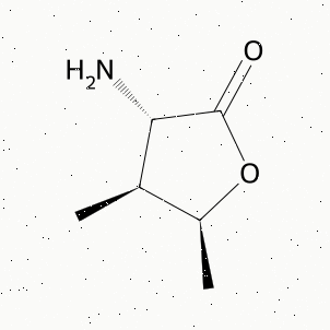 C[C@@H]1[C@H](C)OC(=O)[C@H]1N